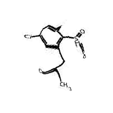 CC(=O)Cc1cc(Cl)ccc1[SH](=O)=O